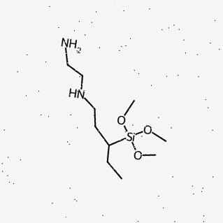 CCC(CCNCCN)[Si](OC)(OC)OC